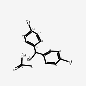 CC(=O)O.Clc1ccc([CH]([Sn])c2ccc(Cl)cc2)cc1